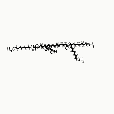 CCCCCCCCCOC(=O)OCCCCC(O)CN(CCO)CCCCCCCC(=O)OC(CCCCCCCC)CCCCCCCC